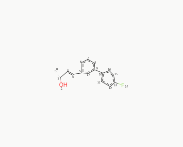 C[C@@H](O)C=Cc1cccc(-c2ccc(F)cc2)c1